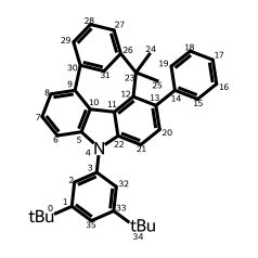 CC(C)(C)c1cc(-n2c3cccc4c3c3c(c(-c5ccccc5)ccc32)C(C)(C)c2cccc-4c2)cc(C(C)(C)C)c1